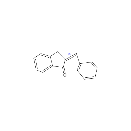 O=C1/C(=C\c2ccccc2)Cc2ccccc21